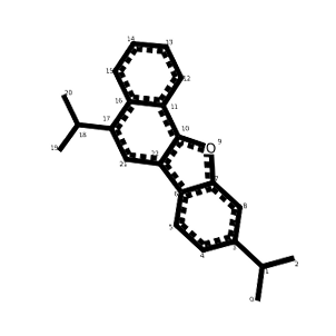 CC(C)c1ccc2c(c1)oc1c3ccccc3c(C(C)C)cc21